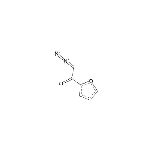 [N-]=[N+]=CC(=O)c1ccco1